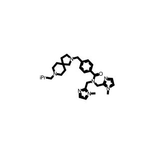 CC(C)CN1CCC2(CC1)CCN(Cc1ccc(C(=O)N(Cc3nccn3C)Cc3nccn3C)cc1)C2